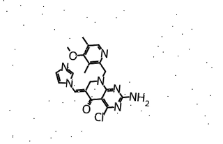 COc1c(C)cnc(CN2C/C(=C\n3ccnc3)C(=O)c3c(Cl)nc(N)nc32)c1C